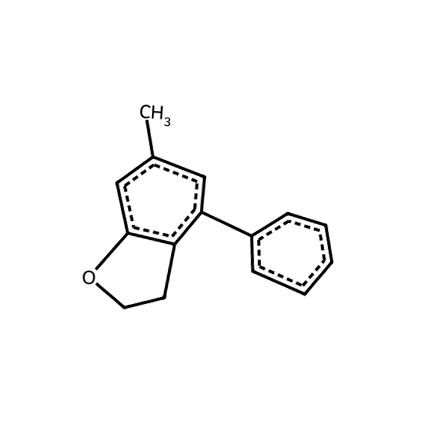 Cc1cc2c(c(-c3ccccc3)c1)CCO2